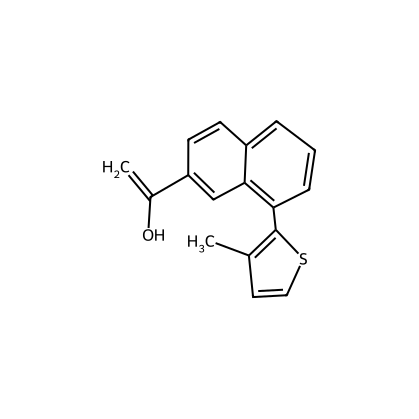 C=C(O)c1ccc2cccc(-c3sccc3C)c2c1